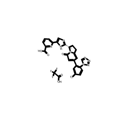 O=C(O)C(F)(F)F.O=C(O)c1cccc(-c2cnc([C@@H]3CCc4cc(-c5cc(Cl)ccc5-n5cnnn5)cc(=O)n43)[nH]2)n1